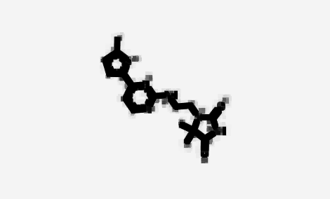 Cc1ccc(-c2ccnc(NCCN3C(=O)NC(=O)C3(C)C)n2)s1